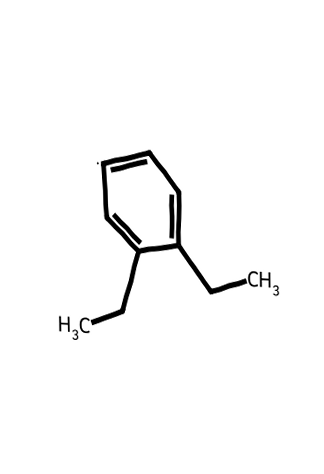 CCc1c[c]ccc1CC